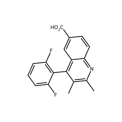 Cc1nc2ccc(C(=O)O)cc2c(-c2c(F)cccc2F)c1C